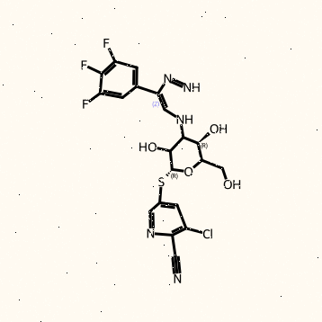 N#Cc1ncc(S[C@H]2OC(CO)[C@H](O)C(N/C=C(\N=N)c3cc(F)c(F)c(F)c3)C2O)cc1Cl